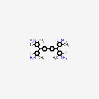 CCc1cc(C(c2ccc(-c3ccc(C(c4cc(C)c(N)c(CC)c4)c4cc(C)c(N)c(CC)c4)cc3)cc2)c2cc(C)c(N)c(CC)c2)cc(C)c1N